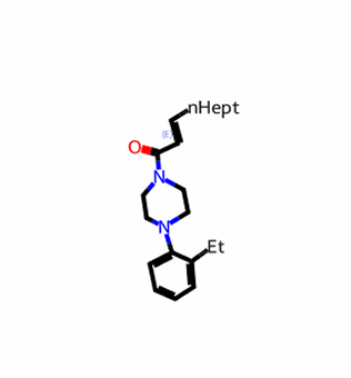 CCCCCCC/C=C/C(=O)N1CCN(c2ccccc2CC)CC1